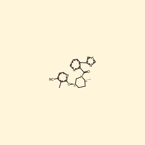 Cc1c(C#N)ccnc1O[C@@H]1CC[C@@H](C)N(C(=O)c2ncccc2-c2cscn2)C1